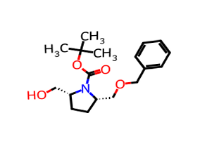 CC(C)(C)OC(=O)N1[C@@H](CO)CC[C@H]1COCc1ccccc1